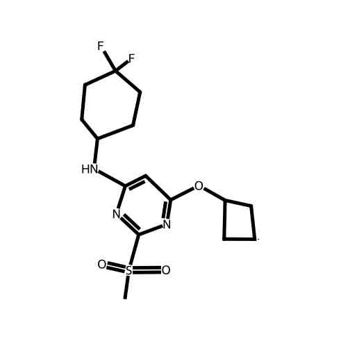 CS(=O)(=O)c1nc(NC2CCC(F)(F)CC2)cc(OC2C[CH]C2)n1